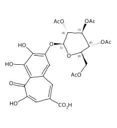 CC(=O)OC[C@H]1O[C@@H](Oc2cc3cc(C(=O)O)cc(O)c(=O)c3c(O)c2O)[C@H](OC(C)=O)[C@@H](OC(C)=O)[C@@H]1OC(C)=O